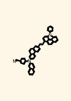 N#Cc1ccc(N(c2ccc3ccccc3c2)c2ccc3c(ccc4cc(/C=C/c5ccc6c7c5ccc5cccc(c57)n6-c5ccccc5)ccc43)c2)cc1